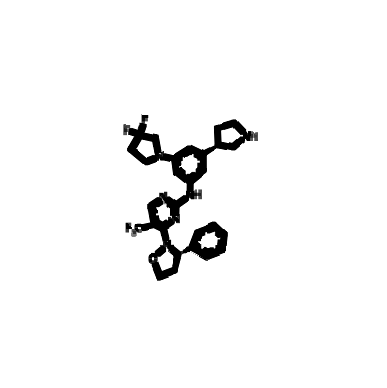 FC1(F)CCN(c2cc(Nc3ncc(C(F)(F)F)c(N4OCC[C@H]4c4ccccc4)n3)cc([C@H]3CCNC3)c2)C1